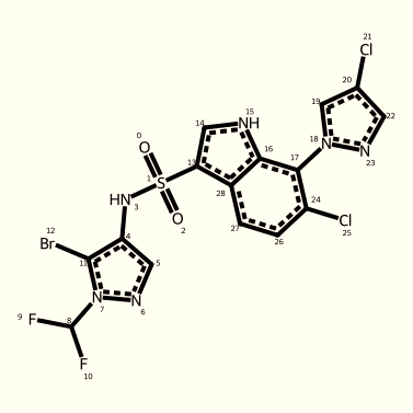 O=S(=O)(Nc1cnn(C(F)F)c1Br)c1c[nH]c2c(-n3cc(Cl)cn3)c(Cl)ccc12